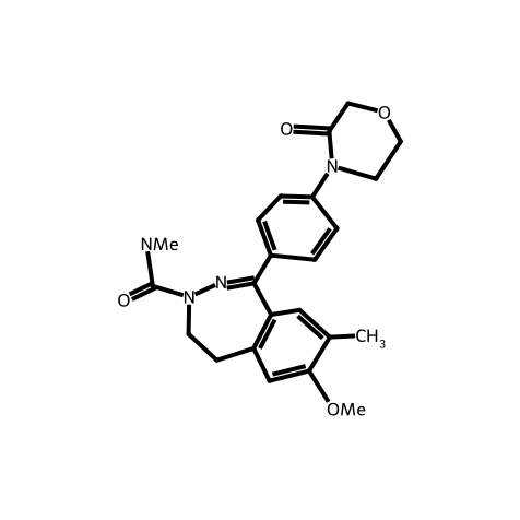 CNC(=O)N1CCc2cc(OC)c(C)cc2C(c2ccc(N3CCOCC3=O)cc2)=N1